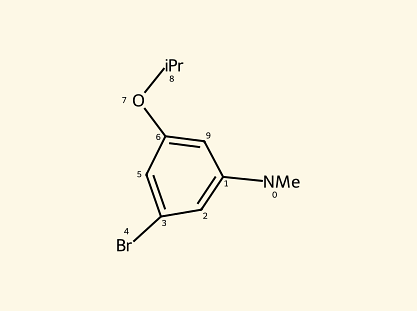 CNc1cc(Br)cc(OC(C)C)c1